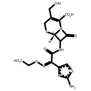 CC(=O)OCC1=C(C(=O)O)N2C(=O)C(NC(=O)/C(=N\OCC(=O)O)c3csc(N)n3)[C@@H]2SC1